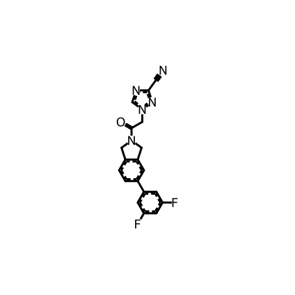 N#Cc1ncn(CC(=O)N2Cc3ccc(-c4cc(F)cc(F)c4)cc3C2)n1